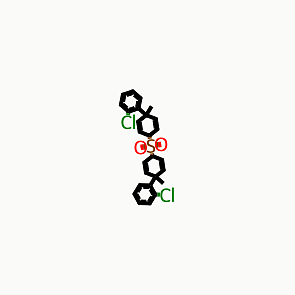 CC1(c2ccccc2Cl)C=CC(S(=O)(=O)C2C=CC(C)(c3ccccc3Cl)C=C2)C=C1